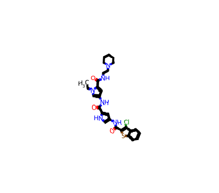 CCn1cc(NC(=O)c2cc(NC(=O)c3sc4ccccc4c3Cl)c[nH]2)cc1C(=O)NCCN1CCCCC1